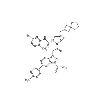 CC(=O)c1nn(CC(=O)N2C3C[C@]3(CN3CC4(CCCC4)C3)C[C@H]2C(=O)Nc2nc(Br)ccc2C)c2cnc(-c3cnc(C)nc3)cc12